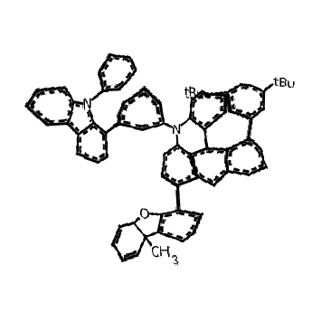 CC(C)(C)c1cc(-c2cccc3cccc(-c4ccccc4N(c4ccc(-c5cccc6c5OC5C=CC=CC65C)cc4)c4cccc(-c5cccc6c7ccccc7n(-c7ccccc7)c56)c4)c23)cc(C(C)(C)C)c1